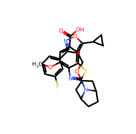 COc1cc(C(=O)O)cc2sc(N3C4CCC3CC(OCc3c(-c5cccc(F)c5)noc3C3CC3)C4)nc12